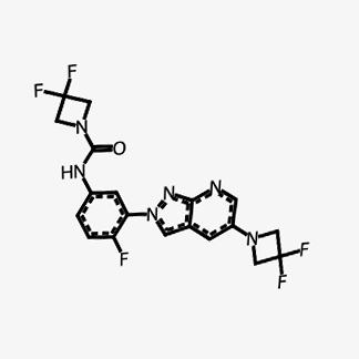 O=C(Nc1ccc(F)c(-n2cc3cc(N4CC(F)(F)C4)cnc3n2)c1)N1CC(F)(F)C1